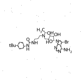 CC1O[C@H]2[C@@H](O)[C@H](n3cc(Br)c4c(N)ncnc43)O[C@@H]2CN1CCCNC(=O)Nc1ccc(C(C)(C)C)cc1